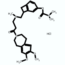 COc1cc2c(cc1OC)CCN(C(=O)CCN(C)CC1Cc3ccc(OC(=O)N(C)C)cc31)CC2.Cl